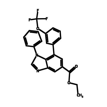 CCOC(=O)c1cc(-c2cccc(OC(F)(F)F)c2)c2c(c1)ncn2-c1ccccc1